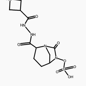 O=C(NNC(=O)C1CCC2CN1C(=O)N2OS(=O)(=O)O)C1CNC1